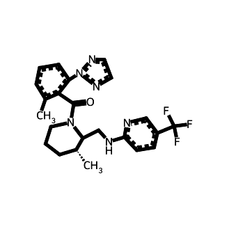 Cc1cccc(-n2nccn2)c1C(=O)N1CCC[C@@H](C)C1CNc1ccc(C(F)(F)F)cn1